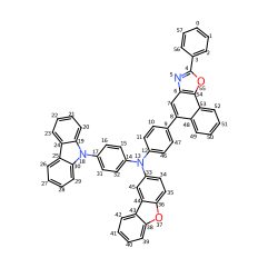 c1ccc(-c2nc3cc(-c4ccc(N(c5ccc(-n6c7ccccc7c7ccccc76)cc5)c5ccc6oc7ccccc7c6c5)cc4)c4ccccc4c3o2)cc1